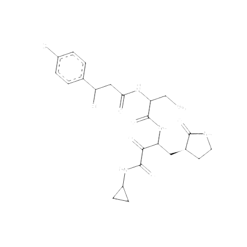 CCC(CC(=O)NC(CC(C)(C)C)C(=O)NC(C[C@@H]1CCNC1=O)C(=O)C(=O)NC1CC1)c1ccc(Cl)cc1